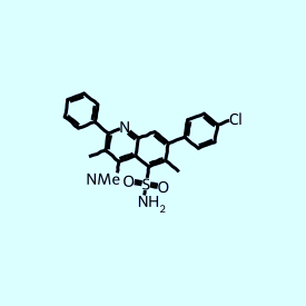 CNc1c(C)c(-c2ccccc2)nc2cc(-c3ccc(Cl)cc3)c(C)c(S(N)(=O)=O)c12